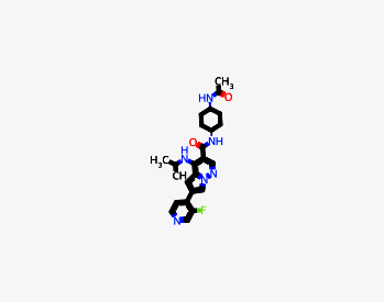 CC(=O)N[C@H]1CC[C@H](NC(=O)c2cnn3cc(-c4ccncc4F)cc3c2NC(C)C)CC1